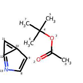 CC(=O)OC(C)(C)C.c1cc2cc-2n1